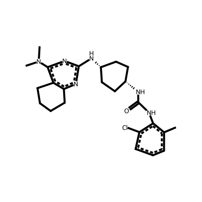 Cc1cccc(Cl)c1NC(=O)N[C@H]1CC[C@@H](Nc2nc3c(c(N(C)C)n2)CCCC3)CC1